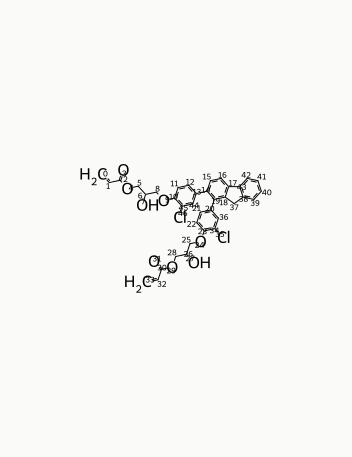 C=CC(=O)OCC(O)COc1ccc(-c2ccc3c(c2-c2ccc(OCC(O)COC(=O)C=C)c(Cl)c2)Cc2ccccc2-3)cc1Cl